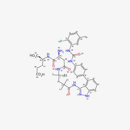 CCC(C)(CC(C)(C)C(=O)Nc1n[nH]c2cccc(-c3ccc(NC(=O)Nc4cc(C)ccc4F)cc3)c12)NC(=O)C[C@H](N)C(=O)N[C@@H](CCC(=O)O)C(=O)O